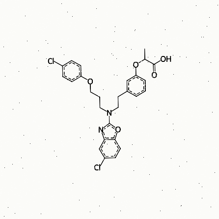 CC(Oc1cccc(CCN(CCCOc2ccc(Cl)cc2)c2nc3cc(Cl)ccc3o2)c1)C(=O)O